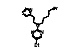 CCc1cnc(N(CCCCC(C)C)CCc2cs[c]n2)nc1